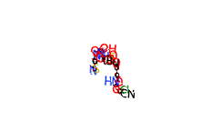 Cc1ncsc1-c1ccc(CNC(=O)[C@@H]2C[C@@H](O)CN2C(=O)C(CC(=O)CS(=O)(=O)CCOc2ccc(-c3ccc(C(=O)N[C@H]4C(C)(C)[C@H](Oc5ccc(C#N)c(Cl)c5)C4(C)C)cc3)cc2)C(C)(C)C)cc1